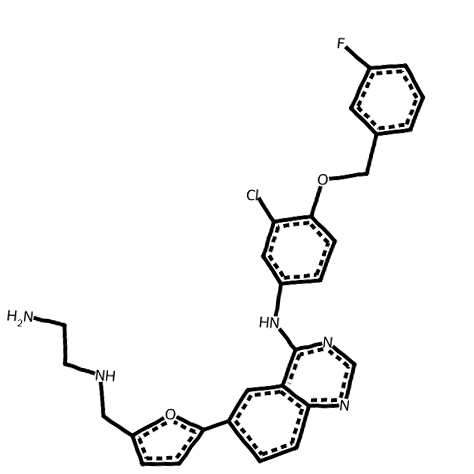 NCCNCc1ccc(-c2ccc3ncnc(Nc4ccc(OCc5cccc(F)c5)c(Cl)c4)c3c2)o1